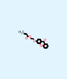 CC=CC(=O)OCCOc1ccc(C(=O)c2ccccc2)c(O)c1